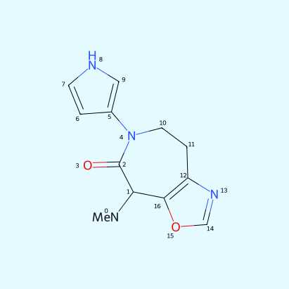 CNC1C(=O)N(c2cc[nH]c2)CCc2ncoc21